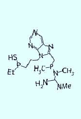 CCP(S)CCCn1c(CP(C)N(C)C(N)NC)nc2cncnc21